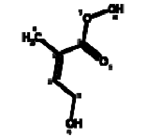 CC(=CCO)C(=O)OO